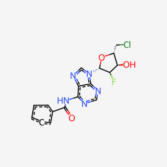 O=C(Nc1ncnc2c1ncn2[C@@H]1O[C@H](CCl)[C@@H](O)[C@H]1F)c1ccccc1